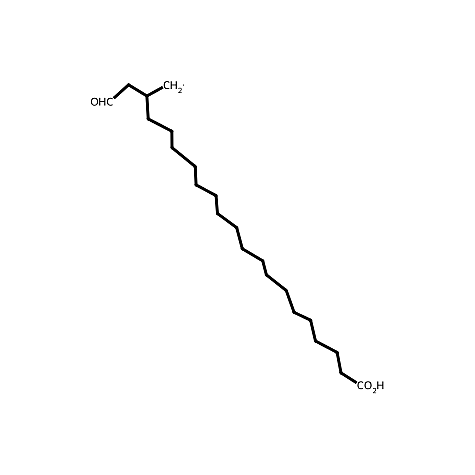 [CH2]C(CC=O)CCCCCCCCCCCCCCCCCC(=O)O